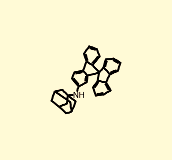 c1ccc2c(c1)-c1ccccc1C21c2ccccc2-c2ccc(NC34CC5CC(CC(C5)C3)C4)cc21